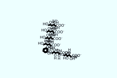 O=C([O-])[C@H](O)[C@@H](O)[C@H](O)[C@H](O)CO.O=C([O-])[C@H](O)[C@@H](O)[C@H](O)[C@H](O)CO.O=C([O-])[C@H](O)[C@@H](O)[C@H](O)[C@H](O)CO.O=C([O-])[C@H](O)[C@@H](O)[C@H](O)[C@H](O)CO.O=C([O-])[C@H](O)[C@@H](O)[C@H](O)[C@H](O)CO.O=C([O-])[C@H](O)[C@@H](O)[C@H](O)[C@H](O)CO.Oc1ccccc1O.[K+].[Na+].[Ti+4]